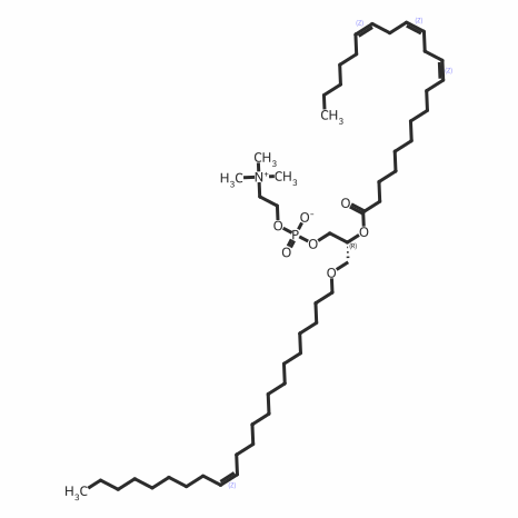 CCCCC/C=C\C/C=C\C/C=C\CCCCCCCCC(=O)O[C@H](COCCCCCCCCCCCC/C=C\CCCCCCCC)COP(=O)([O-])OCC[N+](C)(C)C